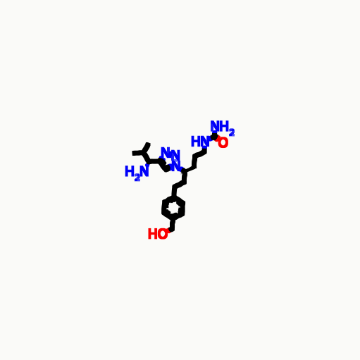 CC(C)[C@H](N)c1cn([C@@H](CCCNC(N)=O)CCc2ccc(CO)cc2)nn1